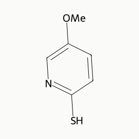 COc1ccc(S)nc1